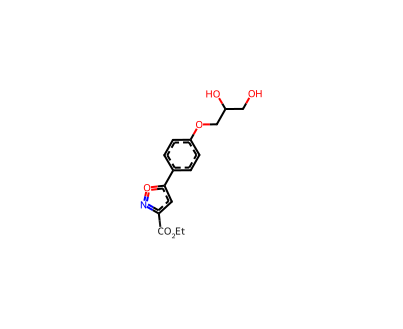 CCOC(=O)c1cc(-c2ccc(OCC(O)CO)cc2)on1